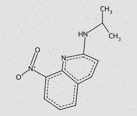 CC(C)Nc1ccc2cccc([N+](=O)[O-])c2n1